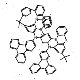 CC(C)(C)c1cc2c3c(c1)N(c1ccc4c5ccccc5c5ccccc5c4c1)c1cc4c(cc1B3c1ccccc1S2)B1c2ccccc2N2c3cc(cc(c31)N4c1ccc3c4ccccc4c4ccccc4c3c1)C(C)(C)c1ccc(cc1)-c1cccc(-c3ccccc3)c12